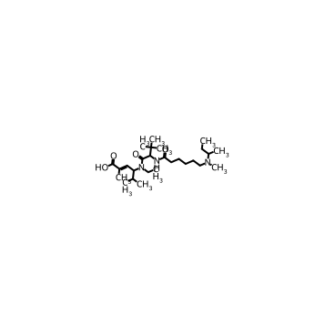 CCC(C)N(C)CCCCCC(=O)NC(C(=O)N(CC)C(/C=C(\C)C(=O)O)C(C)C)C(C)(C)C